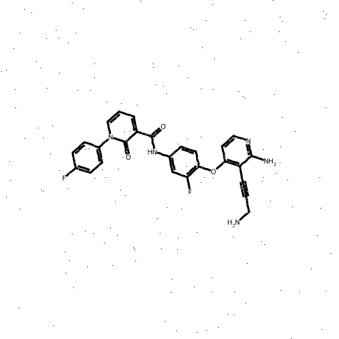 NCC#Cc1c(Oc2ccc(NC(=O)c3cccn(-c4ccc(F)cc4)c3=O)cc2F)ccnc1N